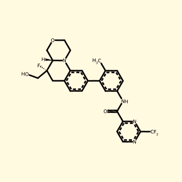 Cc1ccc(NC(=O)c2ccnc(C(F)(F)F)n2)cc1-c1ccc2c(c1)N1CCOC[C@H]1[C@](F)(CO)C2